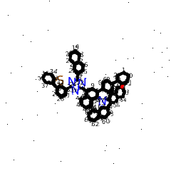 c1ccc(-c2ccc(-c3cc(-c4nc(-c5ccc6ccccc6c5)nc(-c5cccc6c5sc5ccccc56)n4)c4ccccc4c3-n3c4cc5ccccc5cc4c4ccc5ccccc5c43)cc2)cc1